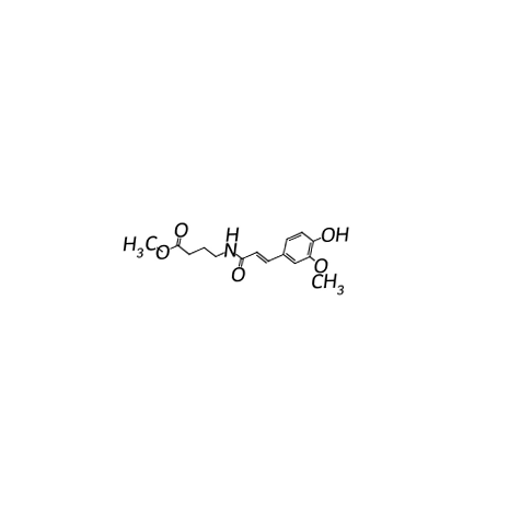 COC(=O)CCCNC(=O)C=Cc1ccc(O)c(OC)c1